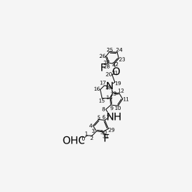 O=CCCc1ccc(NCc2cccc3c2CCCN3CCOc2ccccc2F)cc1F